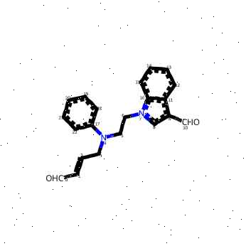 O=C/C=C/CN(CCn1cc(C=O)c2ccccc21)c1ccccc1